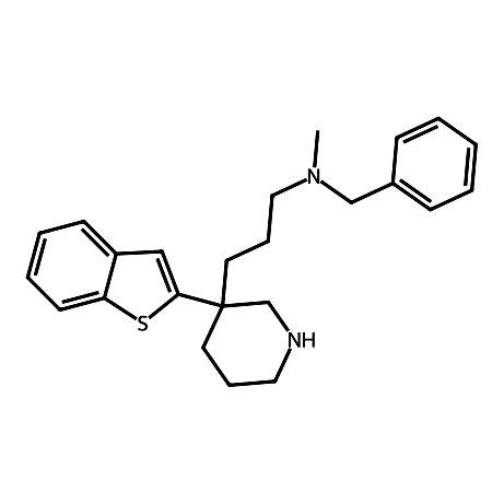 CN(CCCC1(c2cc3ccccc3s2)CCCNC1)Cc1ccccc1